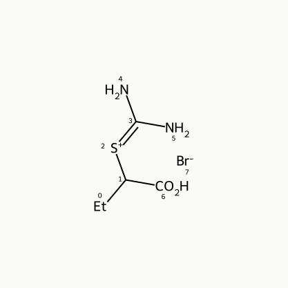 CCC([S+]=C(N)N)C(=O)O.[Br-]